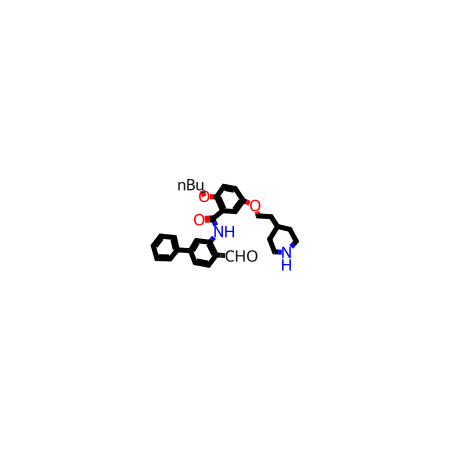 CCCCOc1ccc(OCCC2CCNCC2)cc1C(=O)Nc1cc(-c2ccccc2)ccc1C=O